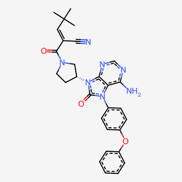 CC(C)(C)C=C(C#N)C(=O)N1CC[C@@H](n2c(=O)n(-c3ccc(Oc4ccccc4)cc3)c3c(N)ncnc32)C1